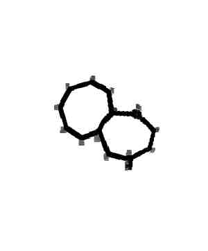 C1CCCC2OCCNCC2CC1